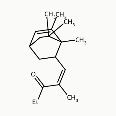 CCC(=O)C(C)=CC1CC2C=C(C)C1(C)C(C)(C)C2